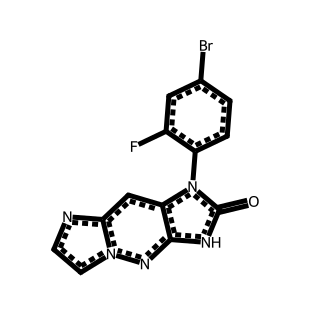 O=c1[nH]c2nn3ccnc3cc2n1-c1ccc(Br)cc1F